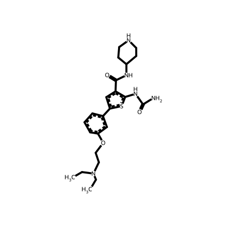 CCN(CC)CCOc1cccc(-c2cc(C(=O)NC3CCNCC3)c(NC(N)=O)s2)c1